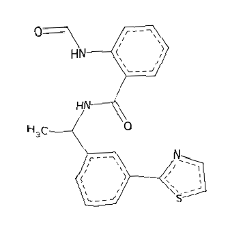 CC(NC(=O)c1ccccc1NC=O)c1cccc(-c2nccs2)c1